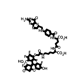 Nc1nc2ncc(CNc3ccc(C(=O)NC(CCC(=O)N[C@H](CCCCNC(=O)CSc4c(F)c(F)c(C(=O)O)c(-c5c6cc(F)c(=O)cc-6oc6cc(O)c(F)cc56)c4F)C(=O)O)C(=O)O)cc3)nc2c(=O)[nH]1